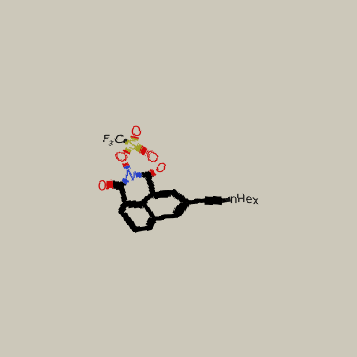 CCCCCCC#Cc1cc2c3c(cccc3c1)C(=O)N(OS(=O)(=O)C(F)(F)F)C2=O